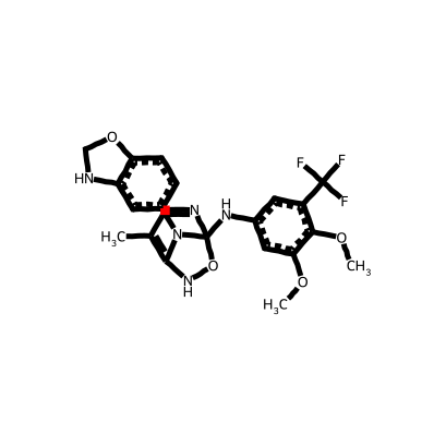 COc1cc(NC23N=CC(C)=C(NO2)N3c2ccc3c(c2)NCO3)cc(C(F)(F)F)c1OC